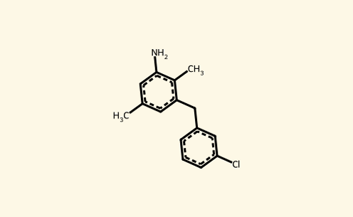 Cc1cc(N)c(C)c(Cc2cccc(Cl)c2)c1